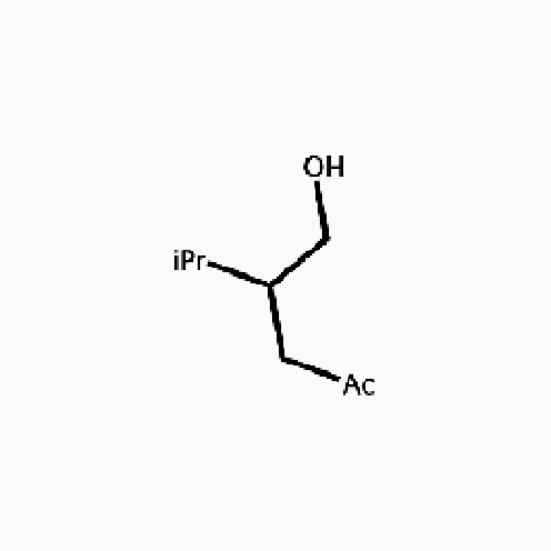 CC(=O)CC(CO)C(C)C